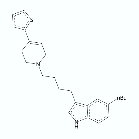 CCCCc1ccc2[nH]cc(CCCCN3CC=C(c4cccs4)CC3)c2c1